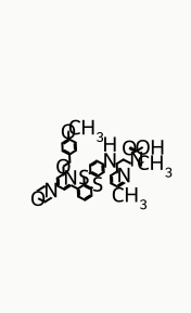 COc1ccc(COc2cc(N3CCOCC3)cc(-c3cccc4c3Sc3ccc(NC(CCN(C)C(=O)O)c5ccc(C)cn5)cc3S4)n2)cc1